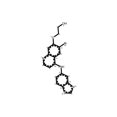 OCCOc1cc2nccc(Nc3ccc4scnc4c3)c2cc1Br